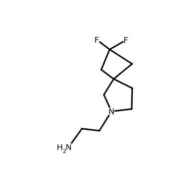 NCCN1CCC2(C1)CC(F)(F)C2